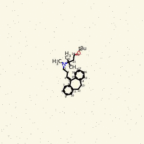 CN(CCC=C1c2ccccc2CCc2ccccc21)C(C)(C)CCOC(C)(C)C